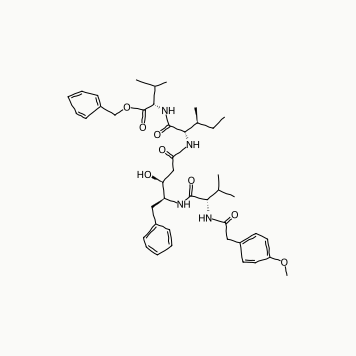 CC[C@H](C)[C@H](NC(=O)C[C@H](O)[C@H](Cc1ccccc1)NC(=O)[C@@H](NC(=O)Cc1ccc(OC)cc1)C(C)C)C(=O)N[C@H](C(=O)OCc1ccccc1)C(C)C